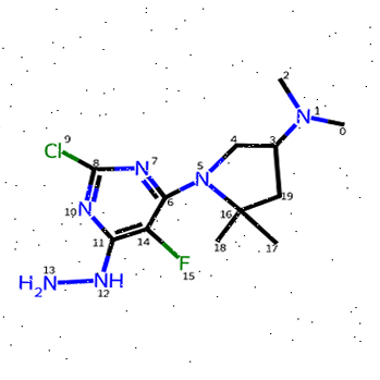 CN(C)C1CN(c2nc(Cl)nc(NN)c2F)C(C)(C)C1